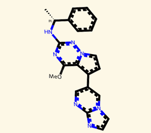 COc1nc(N[C@H](C)c2ccccc2)nn2ccc(-c3cnc4nccn4c3)c12